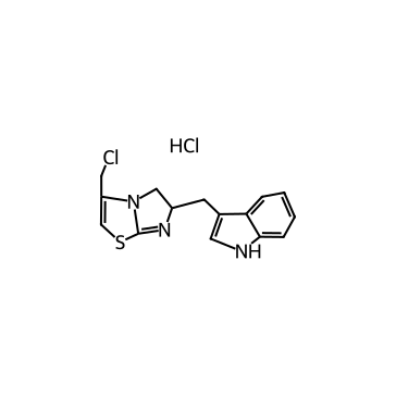 Cl.ClCC1=CSC2=NC(Cc3c[nH]c4ccccc34)CN12